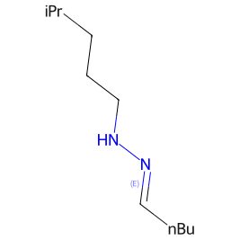 CCCC/C=N/NCCCC(C)C